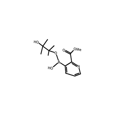 COC(=O)c1ncccc1B(O)OC(C)(C)C(C)(C)O